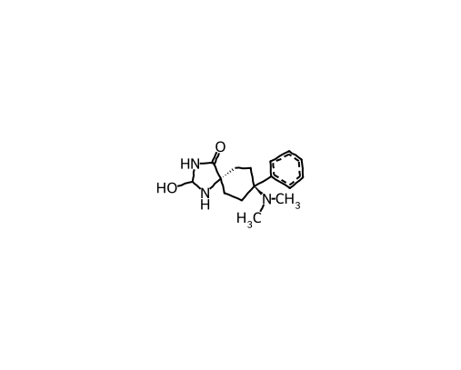 CN(C)[C@]1(c2ccccc2)CC[C@]2(CC1)NC(O)NC2=O